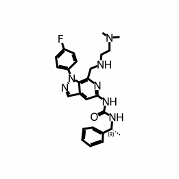 C[C@@H](NC(=O)Nc1cc2cnn(-c3ccc(F)cc3)c2c(CNCCN(C)C)n1)c1ccccc1